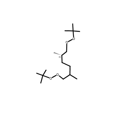 CC(CC[C@H](C)COOC(C)(C)C)COOC(C)(C)C